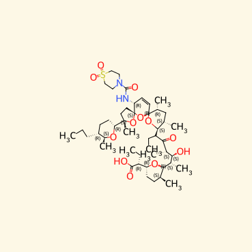 CCC[C@@H]1CC[C@H]([C@]2(C)CC[C@@]3(O[C@]4(C=C[C@H]3NC(=O)N3CCS(=O)(=O)CC3)O[C@H](C(CC)C(=O)[C@@H](C)[C@@H](O)[C@H](C)[C@@H]3O[C@@H]([C@@H](CC)C(=O)O)CC[C@@H]3C)[C@@H](C)C[C@H]4C)O2)O[C@H]1C